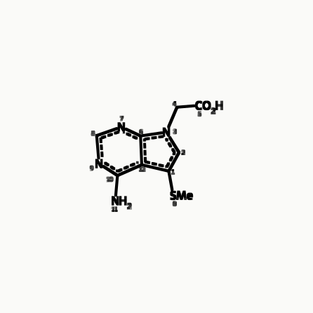 CSc1cn(CC(=O)O)c2ncnc(N)c12